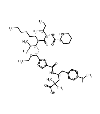 CCCCCCN(C(=O)[C@@H](NC(=O)[C@H]1CCCCN1)[C@@H](C)CC)[C@H](C[C@@H](OCC)c1nc(C(=O)N[C@@H](Cc2ccc(NC)cc2)CC(C)(C)C(=O)O)cs1)C(C)C